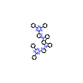 c1ccc(-c2nc(-c3ccccc3)nc(-c3cccc(-n4c5ccccc5c5c6c7ccccc7n(-c7cccc(-c8nc(-c9ccccc9)nc(-c9ccccc9)n8)n7)c6ccc54)n3)n2)cc1